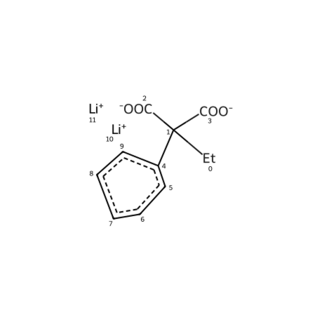 CCC(C(=O)[O-])(C(=O)[O-])c1ccccc1.[Li+].[Li+]